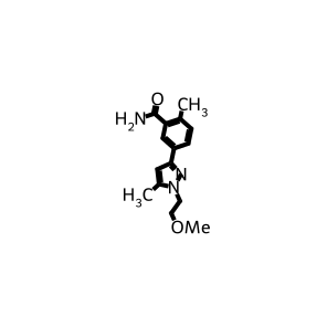 COCCn1nc(-c2ccc(C)c(C(N)=O)c2)cc1C